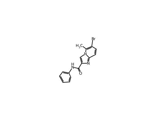 Cc1c(Br)ccc2nc(C(=O)Nc3ccccc3)cn12